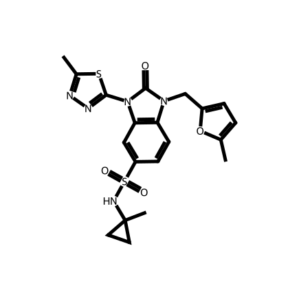 Cc1ccc(Cn2c(=O)n(-c3nnc(C)s3)c3cc(S(=O)(=O)NC4(C)CC4)ccc32)o1